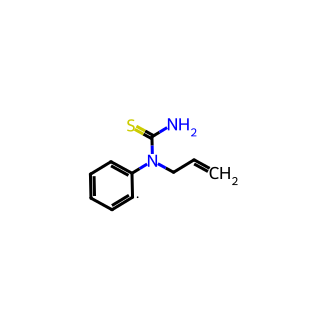 C=CCN(C(N)=S)c1[c]cccc1